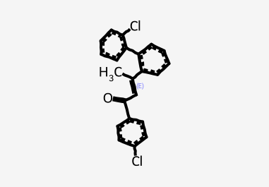 C/C(=C\C(=O)c1ccc(Cl)cc1)c1ccccc1-c1ccccc1Cl